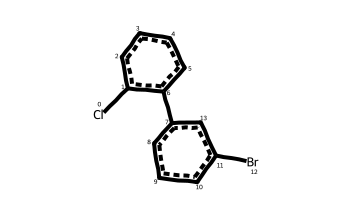 Clc1ccccc1-c1cccc(Br)c1